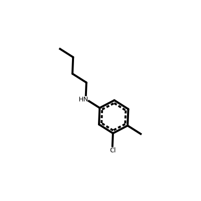 CCCCNc1ccc(C)c(Cl)c1